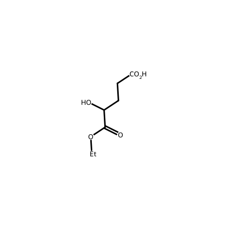 CCOC(=O)C(O)CCC(=O)O